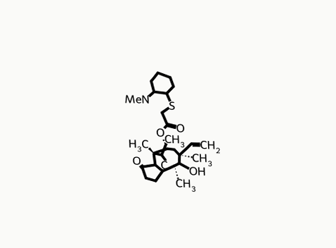 C=C[C@]1(C)C[C@@H](OC(=O)CSC2CCCCC2NC)[C@]2(C)C(C)CCC3(CCC(=O)C32)[C@@H](C)C1O